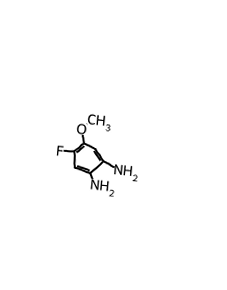 COc1cc(N)c(N)cc1F